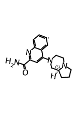 NC(=O)c1cc(N2CCN3CCC[C@H]3C2)c2c[c]ccc2n1